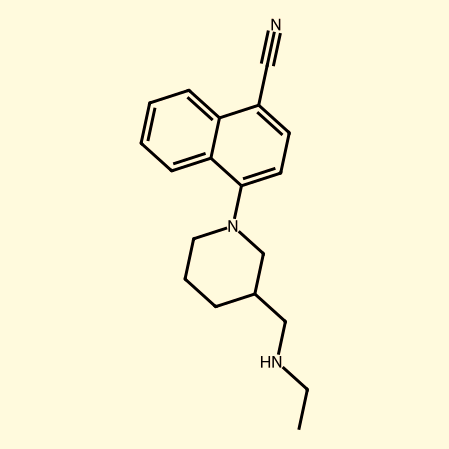 CCNCC1CCCN(c2ccc(C#N)c3ccccc23)C1